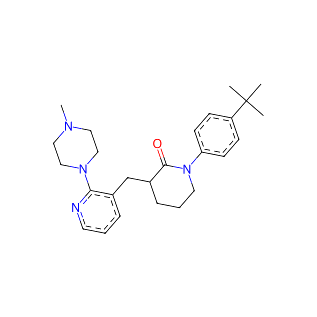 CN1CCN(c2ncccc2CC2CCCN(c3ccc(C(C)(C)C)cc3)C2=O)CC1